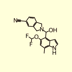 Cc1cc(OC(F)F)c(C(O)N2Cc3ccc(C#N)cc3C2)c2cc[nH]c12